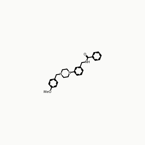 COc1ccc(CN2CCN(c3cccc(CNC(=O)c4ccccc4)c3)CC2)cc1